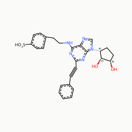 O=S(=O)(O)c1ccc(CCNc2nc(C#Cc3ccccc3)nc3c2ncn3[C@@H]2CC[C@@H](O)[C@H]2O)cc1